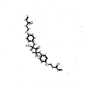 C=CC(=O)CCOc1ccc(CC(C)(O)C(=O)C(C)(O)Cc2ccc(OCCC(=O)C=C)cc2)cc1